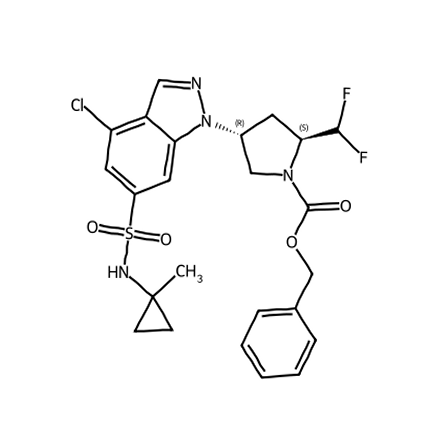 CC1(NS(=O)(=O)c2cc(Cl)c3cnn([C@@H]4C[C@@H](C(F)F)N(C(=O)OCc5ccccc5)C4)c3c2)CC1